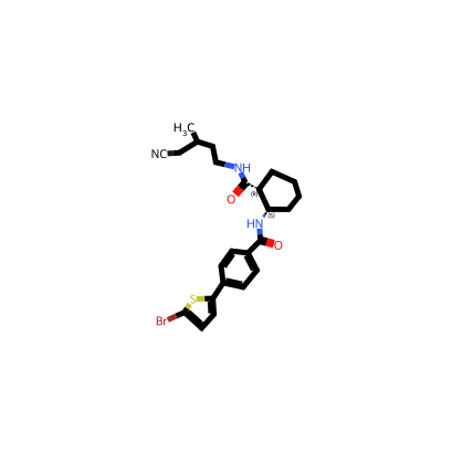 CC(CC#N)CCNC(=O)[C@@H]1CCCC[C@@H]1NC(=O)c1ccc(-c2ccc(Br)s2)cc1